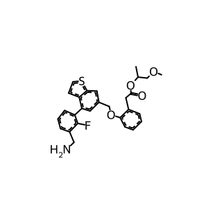 COCC(C)OC(=O)Cc1ccccc1OCc1cc(-c2cccc(CN)c2F)c2ccsc2c1